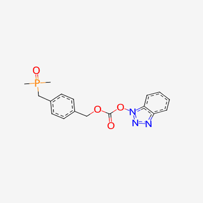 CP(C)(=O)Cc1ccc(COC(=O)On2nnc3ccccc32)cc1